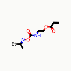 C=CC(=O)OCCNC(=O)ON=C(C)CC